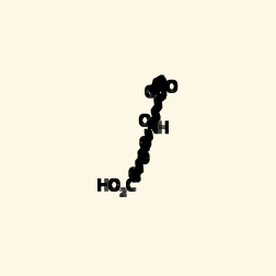 O=C(O)COCCOCCOCCNC(=O)CCCCCN1C(=O)C=CC1=O